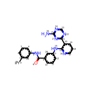 CC(C)c1cccc(NC(=O)c2cccc(Nc3ncccc3-c3ncnc(N)n3)c2)c1